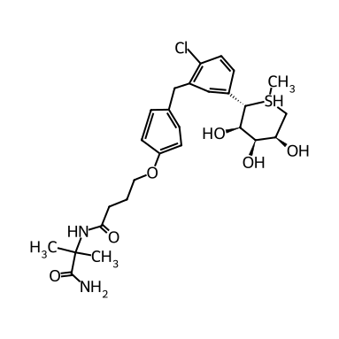 C[SH]1C[C@@H](O)[C@@H](O)[C@@H](O)[C@@H]1c1ccc(Cl)c(Cc2ccc(OCCCC(=O)NC(C)(C)C(N)=O)cc2)c1